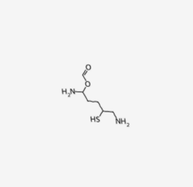 NCC(S)CCC(N)OC=O